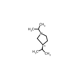 CC(C)[C@@H]1CCN(C(C)C)C1